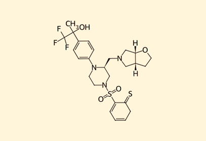 CC(O)(c1ccc(N2CCN(S(=O)(=O)C3=CC=CCC3=S)C[C@@H]2CN2C[C@H]3CCO[C@H]3C2)cc1)C(F)(F)F